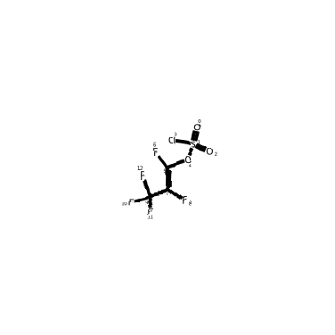 O=S(=O)(Cl)OC(F)=C(F)C(F)(F)F